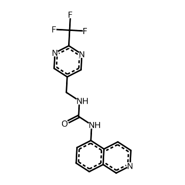 O=C(NCc1cnc(C(F)(F)F)nc1)Nc1cccc2cnccc12